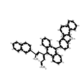 C=C/C=C(\C=C(/C)c1ccc2ccccc2c1)c1c2ccccc2c(-c2ccc3oc4c5ccccc5ccc4c3c2)c2ccccc12